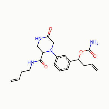 C=CCCNC(=O)C1CNC(=O)CN1c1cccc(C(CC=C)OC(N)=O)c1